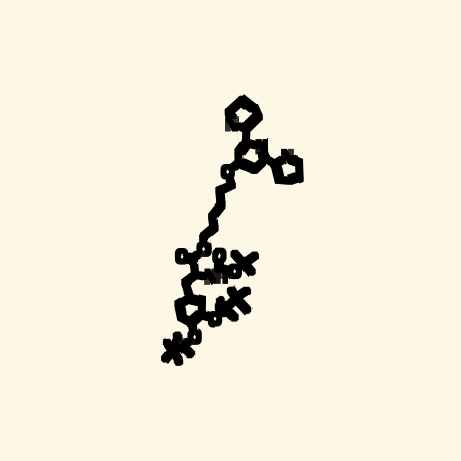 CC(C)(C)OC(=O)NC(Cc1ccc(O[Si](C)(C)C(C)(C)C)c(O[Si](C)(C)C(C)(C)C)c1)C(=O)OCCCCCCOc1cc(-c2ccccn2)nc(-c2ccccn2)c1